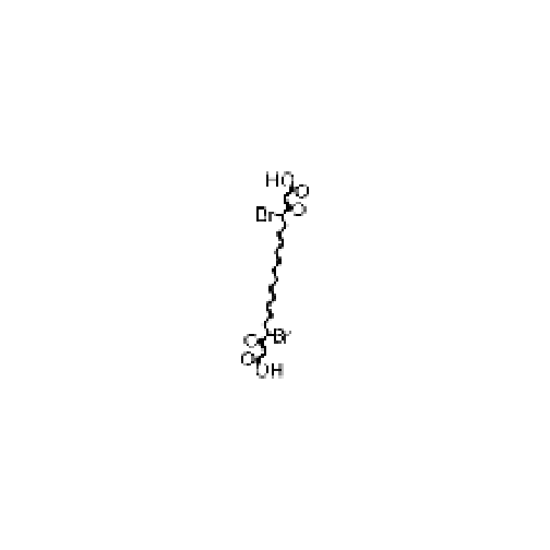 O=C(O)CC(=O)C(Br)CCCCCCCCCCCCC(Br)C(=O)CC(=O)O